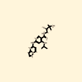 CC(C)Nc1cc(Nc2ccn3nccc3n2)ncc1C(=O)NC[C@@H](F)C(C)(C)O